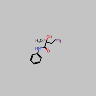 C[C@](O)(CC[123I])C(=O)Nc1ccccc1